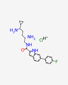 NC(CC[C@H](N)CNC(=O)c1cc2ccc(-c3ccc(F)cc3)cc2[nH]1)C1CC1.[Cl-].[H+]